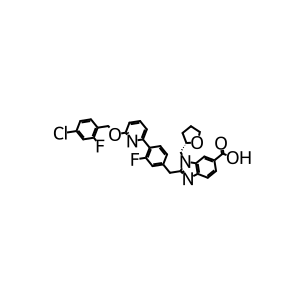 O=C(O)c1ccc2nc(Cc3ccc(-c4cccc(OCc5ccc(Cl)cc5F)n4)c(F)c3)n(C[C@@H]3CCCO3)c2c1